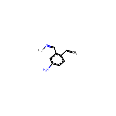 C=Cc1ccc(N)cc1/C=N\C